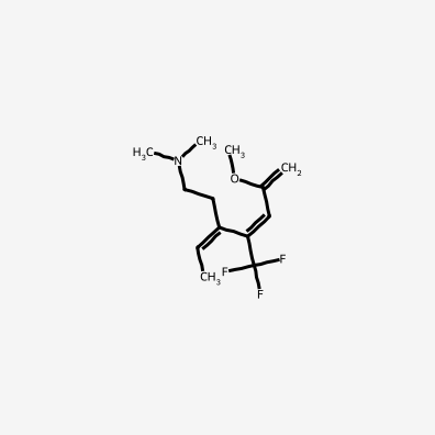 C=C(/C=C(\C(=C/C)CCN(C)C)C(F)(F)F)OC